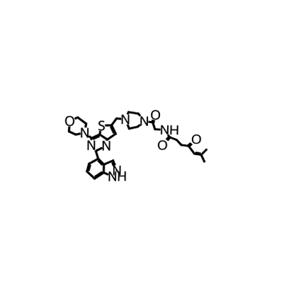 CC(C)=CC(=O)CCC(=O)NCC(=O)N1CCN(Cc2cc3nc(-c4cccc5[nH]ncc45)nc(N4CCOCC4)c3s2)CC1